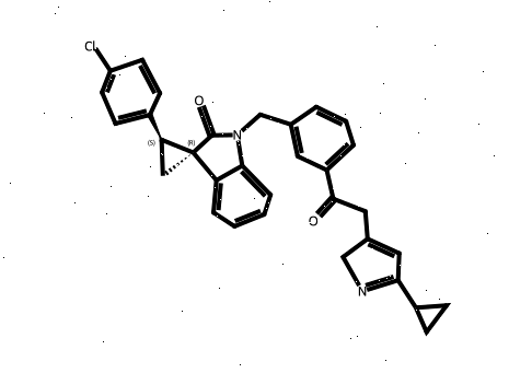 O=C(CC1=CC(C2CC2)=NC1)c1cccc(CN2C(=O)[C@@]3(C[C@H]3c3ccc(Cl)cc3)c3ccccc32)c1